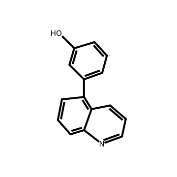 Oc1c[c]cc(-c2cccc3ncccc23)c1